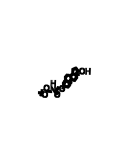 CC(C)(C)OC(=O)CNC(=O)CO[C@H]1C=C2CCC3C(CCC4(C)C(O)CCC34)C2(C)CC1